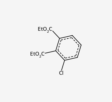 CCOC(=O)c1cccc(Cl)c1C(=O)OCC